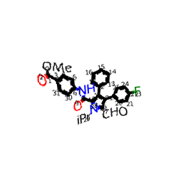 COC(=O)c1ccc(NC(=O)c2c(-c3ccccc3)c(-c3ccc(F)cc3)c(C=O)n2C(C)C)cc1